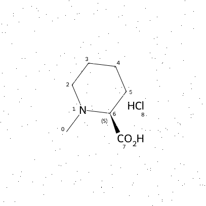 CN1CCCC[C@H]1C(=O)O.Cl